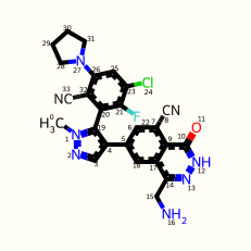 Cn1ncc(-c2cc(C#N)c3c(=O)[nH]nc(CN)c3c2)c1-c1c(F)c(Cl)cc(N2CCCC2)c1C#N